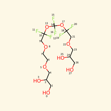 OCC(O)COCCOCC(F)(F)OC(F)(F)OC(F)(F)COCC(O)CO